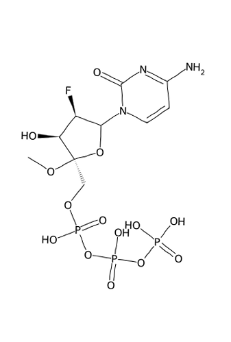 CO[C@]1(COP(=O)(O)OP(=O)(O)OP(=O)(O)O)OC(n2ccc(N)nc2=O)[C@H](F)[C@@H]1O